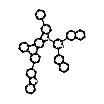 c1ccc(-c2ccc3c(c2)c2cc4c5ccccc5c5cc(-c6ccc7c(c6)sc6ccccc67)ccc5c4cc2n3-c2cc(-c3ccc4ccccc4c3)nc(-c3ccc4ccccc4c3)c2)cc1